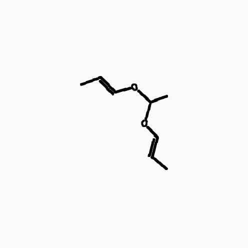 CC=COC(C)OC=CC